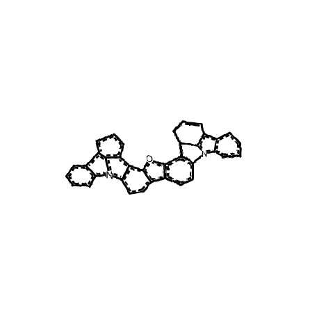 C1=Cc2c3n(c4ccccc24)-c2ccc4c(oc5c4ccc4c5c5cccc6c7ccccc7n4c65)c2C3C1